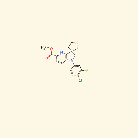 COC(=O)c1ccc2c(n1)C1(CCOC1)CN2c1ccc(Cl)c(F)c1